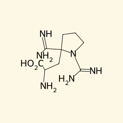 N=C(N)N1CCCC1(CC(N)C(=O)O)C(=N)N